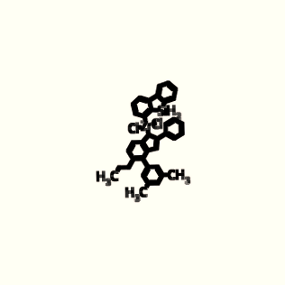 CCCc1ccc2c(c1-c1cc(C)cc(C)c1)C=C(c1ccccc1)[CH]2[Zr]([Cl])([Cl])[c]1cccc2c1[SiH2]c1ccccc1-2